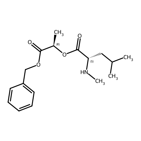 CN[C@@H](CC(C)C)C(=O)O[C@H](C)C(=O)OCc1ccccc1